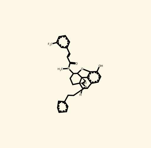 CN(C(=O)/C=C/c1cccc(C(F)(F)F)c1)C1CC[C@H]2[C@H]3Cc4ccc(O)c5c4[C@@]2(CCN3CCc2ccccc2)C1O5